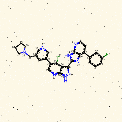 Fc1cccc(-c2ccnc3[nH]c(-c4n[nH]c5ncc(-c6cncc(CN7CCCC7)c6)c(F)c45)nc23)c1